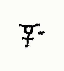 Fc1cc(S)cc(C(F)(F)F)c1.[Br-].[Br-].[Mg+2]